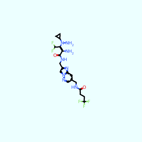 N/C(C(=O)NCc1cn2ncc(CNC(=O)CCC(F)(F)F)cc2n1)=C(/C(F)F)N(N)C1CC1